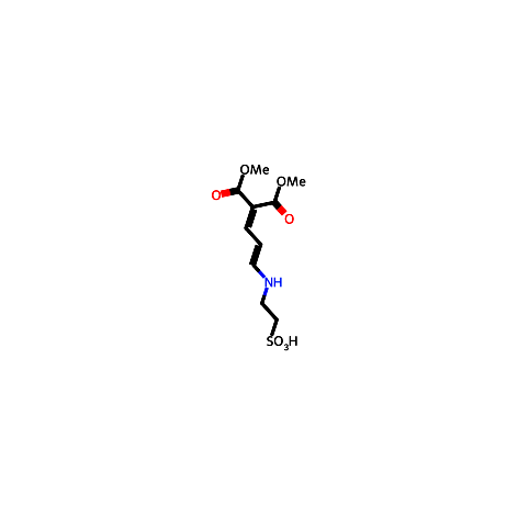 COC(=O)C(=C/C=C/NCCS(=O)(=O)O)C(=O)OC